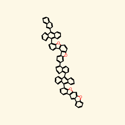 c1ccc2cc(-c3c4ccccc4c(-c4cccc5c4oc4ccc6oc7cc(-c8cccc9c(-c%10c%11ccccc%11c(-c%11cccc%12c%11oc%11cc%13oc%14ccccc%14c%13cc%11%12)c%11ccccc%10%11)cccc89)ccc7c6c45)c4ccccc34)ccc2c1